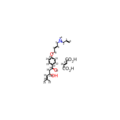 C=CCN(C)CC=CCOc1ccc(C(=O)CC(O)C=C(C)C)cc1.O=C(O)C=CC(=O)O